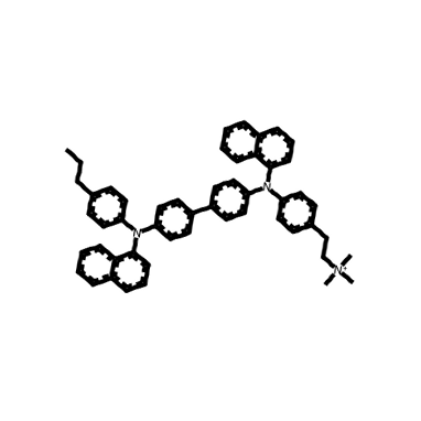 CCCc1ccc(N(c2ccc(-c3ccc(N(c4ccc(CC[N+](C)(C)C)cc4)c4cccc5ccccc45)cc3)cc2)c2cccc3ccccc23)cc1